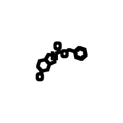 O=C1CCC2CN(C(=O)OCc3ccccc3)CC2C1